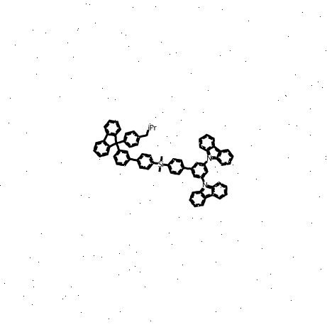 CC(C)Cc1ccc(C2(c3cccc(-c4ccc([Si](C)(C)c5ccc(-c6cc(-n7c8ccccc8c8ccccc87)cc(-n7c8ccccc8c8ccccc87)c6)cc5)cc4)c3)c3ccccc3-c3ccccc32)cc1